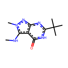 CNc1c2c(=O)[nH]c(C(C)(C)C)nc2nn1C